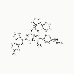 Cc1ccc(-n2cnnn2)c(/C=C/C(=O)N[C@@H](CC(=O)N2CCCC2c2ccncc2)c2nc(-c3ccc(NC=O)cc3)c(C)[nH]2)c1